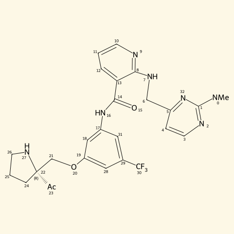 CNc1nccc(CNc2ncccc2C(=O)Nc2cc(OC[C@@]3(C(C)=O)CCCN3)cc(C(F)(F)F)c2)n1